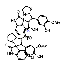 COc1ccc(C2C3SCCN3C3(C(=O)Nc4ccc(Cl)cc43)C2/C(O)=C/C(=O)C2C3CSCN3C3(C(=O)Nc4ccc(Cl)cc43)C2c2ccc(O)c(OC)c2)cc1O